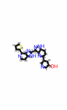 Oc1cncc(-c2ccc3[nH]nc(-c4nc5c(-c6cccs6)nccc5[nH]4)c3n2)c1